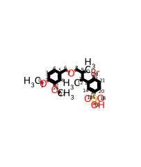 COc1ccc(COCC(C)C(C)c2cc(S(=O)(=O)O)ccc2Br)cc1OC